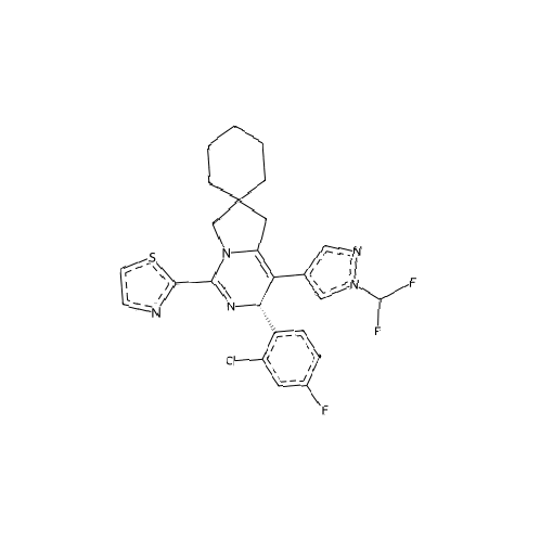 Fc1ccc([C@@H]2N=C(c3nccs3)N3CC4(CCCCC4)CC3=C2c2cnn(C(F)F)c2)c(Cl)c1